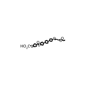 C=CC(=O)OCCCCOc1ccc(-c2ccc(-c3ccc(OC(=O)c4ccc(OCC(=O)O)cc4)cc3)cc2)cc1